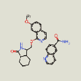 CC(C)Oc1ccc2ccnc(OCC3NC(=O)C4CCCCC34)c2c1.NC(=O)c1ccc2ncccc2c1